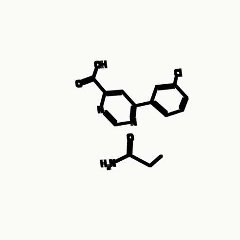 CCC(N)=O.O=C(O)c1cc(-c2cccc(Cl)c2)ncn1